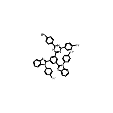 CC(C)c1ccc(-c2nc(-c3ccc(C(C)C)cc3)nc(-c3cc(-c4nc5ccccc5n4-c4ccc(C(C)C)cc4)cc(-c4nc5ccccc5n4-c4ccc(C(C)C)cc4)c3)n2)cc1